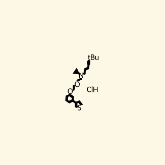 CC(C)(C)C#CC=CCN(CCOCCOc1cccc(-c2ccsc2)c1)C1CC1.Cl